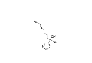 C#CCOCCCCC(O)(C#C)c1cccnc1